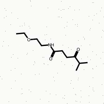 CCOCCNC(=O)CCC(=O)C(C)C